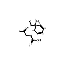 CC(=O)CCC(=O)O.CCC1(N)C=CC=CC1